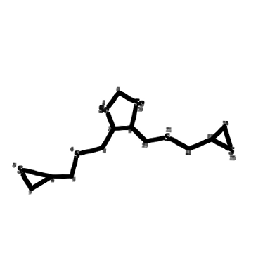 C1[Se]C(CSCC2CS2)C(CSCC2CS2)[Se]1